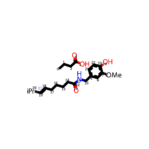 CCCC(=O)O.COc1cc(CNC(=O)CCCC/C=C/C(C)C)ccc1O